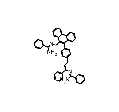 N/C(=N\Cc1c(-c2ccc(C/C=C(\N=C(/N)c3ccccc3)c3ccccc3)cc2)c2ccccc2c2ccccc12)c1ccccc1